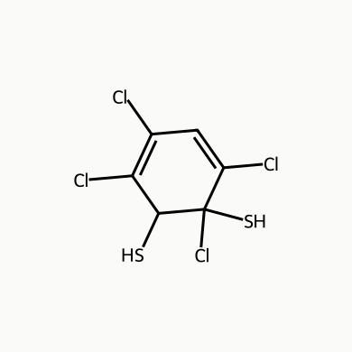 SC1C(Cl)=C(Cl)C=C(Cl)C1(S)Cl